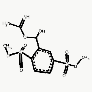 COS(=O)(=O)c1ccc(S(=O)(=O)OC)c(C(O)OC(=N)N)c1